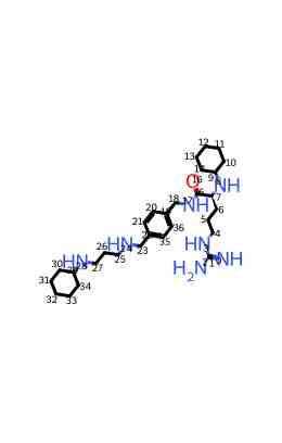 N=C(N)NCCC[C@H](NC1CCCCC1)C(=O)NCc1ccc(CNCCCNC2CCCCC2)cc1